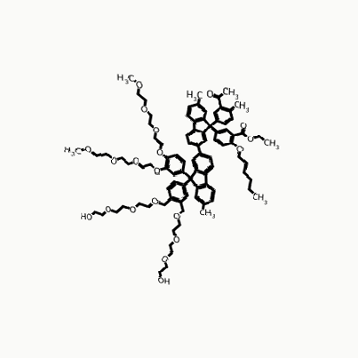 CCCCCCOc1ccc(C2(c3ccc(C)c(C(C)=O)c3)c3cc(C)ccc3-c3ccc(-c4ccc5c(c4)C(c4ccc(COCCOCCOCCO)c(COCCOCCOCCO)c4)(c4ccc(OCCOCCOCCOC)c(OCCOCCOCCOC)c4)c4cc(C)ccc4-5)cc32)cc1C(=O)OCC